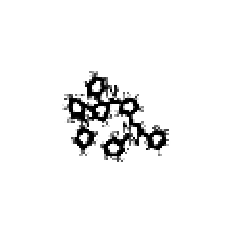 c1ccc(-c2cc(-c3cccc(-c4nc5ccccc5c5c4ccc4c5c5ccccc5n4-c4ccccc4)c3)nc(-c3ccccc3)n2)cc1